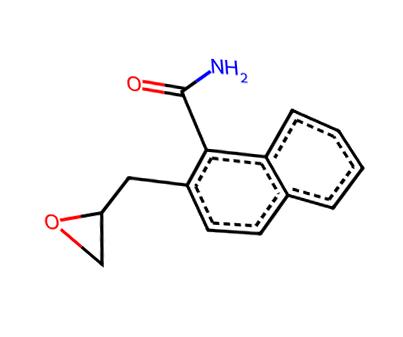 NC(=O)c1c(CC2CO2)ccc2ccccc12